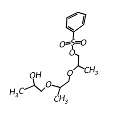 CC(O)COC(C)COC(C)COS(=O)(=O)c1ccccc1